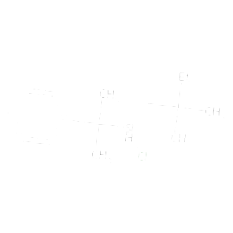 CCC(C)(C)C[SiH](Cl)C(C)(C)c1ccccc1